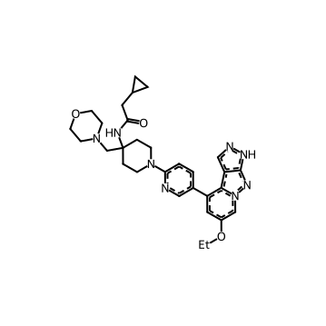 CCOc1cc(-c2ccc(N3CCC(CN4CCOCC4)(NC(=O)CC4CC4)CC3)nc2)c2c3cn[nH]c3nn2c1